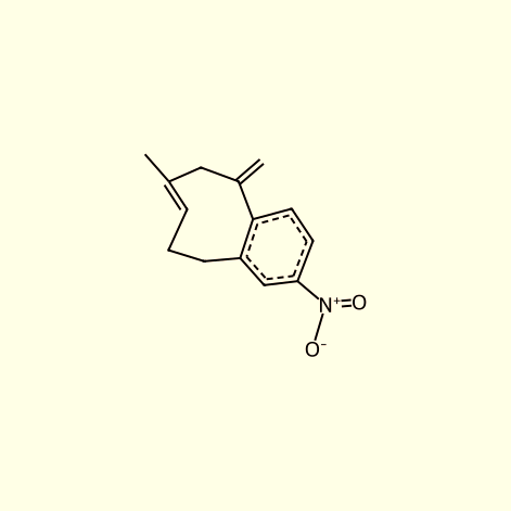 C=C1C/C(C)=C/CCc2cc([N+](=O)[O-])ccc21